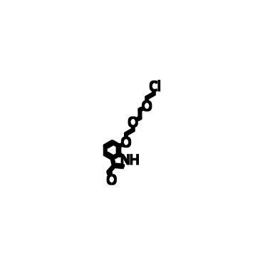 O=Cc1c[nH]c2c(OCCOCCOCCCl)cccc12